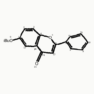 CC(C)COc1ccc2oc(-c3ccccc3)cc(=O)c2c1